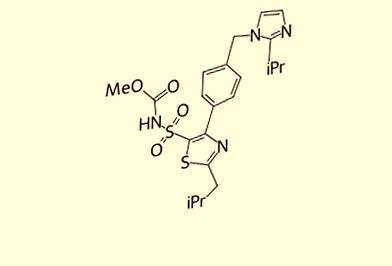 COC(=O)NS(=O)(=O)c1sc(CC(C)C)nc1-c1ccc(Cn2ccnc2C(C)C)cc1